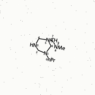 CCCN1CNCNC1.CNC